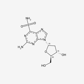 Nc1nc(S(N)(=O)=O)c2ncn([C@@H]3C[C@H](O)[C@@H](CO)O3)c2n1